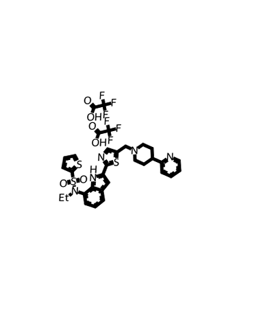 CCN(c1cccc2cc(-c3ncc(CN4CCC(c5ccccn5)CC4)s3)[nH]c12)S(=O)(=O)c1cccs1.O=C(O)C(F)(F)F.O=C(O)C(F)(F)F